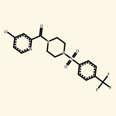 O=C(c1cc(Cl)ccn1)N1CCN(S(=O)(=O)c2ccc(C(F)(F)F)cc2)CC1